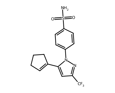 NS(=O)(=O)c1ccc(-n2nc(C(F)(F)F)cc2C2=CCCC2)cc1